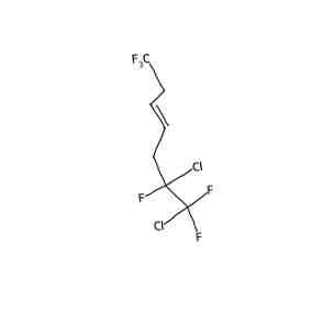 FC(F)(F)CC=CCC(F)(Cl)C(F)(F)Cl